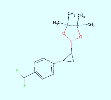 CC1(C)OB([C@H]2C[C@@H]2c2ccc(C(F)F)cc2)OC1(C)C